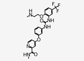 CNCCOc1ccc(C(F)(F)F)cc1NC(=O)Nc1cccc(Oc2ccnc(C(=O)NC)c2)c1